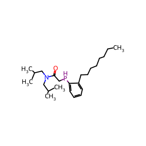 CCCCCCCCc1ccccc1PCC(=O)N(CC(C)C)CC(C)C